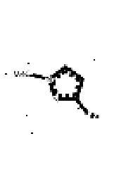 CCCCc1ccn(OC)n1